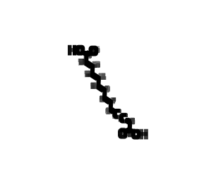 O=C(O)C=C=C=CC=CC=CC=CC=CC(=O)O